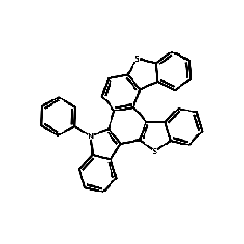 c1ccc(-n2c3ccccc3c3c4sc5ccccc5c4c4c(ccc5sc6ccccc6c54)c32)cc1